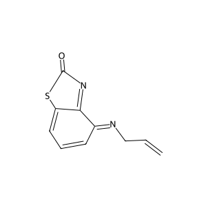 C=CCN=C1C=CC=C2SC(=O)N=C21